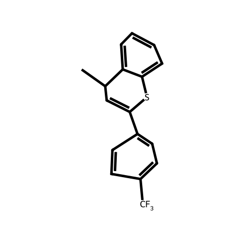 CC1C=C(c2ccc(C(F)(F)F)cc2)Sc2ccccc21